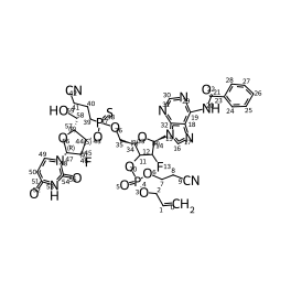 C=CCOP(=O)(OCCC#N)OC1C(F)[C@H](n2cnc3c(NC(=O)c4ccccc4)ncnc32)O[C@@H]1COP(=S)(CCCC#N)O[C@@H]1[C@H](F)[C@H](n2ccc(=O)[nH]c2=O)O[C@@H]1CO